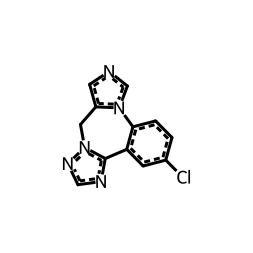 Clc1ccc2c(c1)-c1ncnn1Cc1cncn1-2